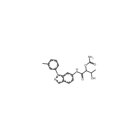 Cc1cccc(-n2ncc3ccc(NC(=O)C(OC(N)=O)C(C)O)cc32)c1